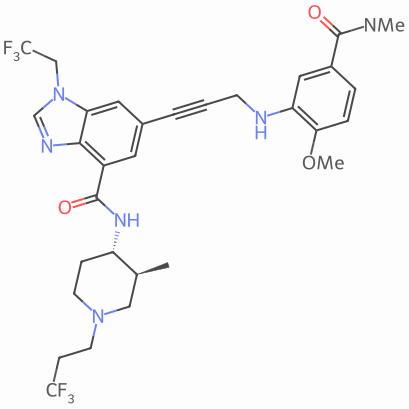 CNC(=O)c1ccc(OC)c(NCC#Cc2cc(C(=O)N[C@H]3CCN(CCC(F)(F)F)C[C@@H]3C)c3ncn(CC(F)(F)F)c3c2)c1